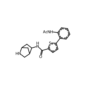 CC(=O)Nc1ccccc1-c1ccc(C(=O)NC2CC3CC2CN3)s1